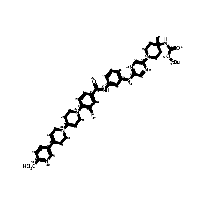 CC1(NC(=O)OC(C)(C)C)CCN(c2cnc(Sc3cccc(NC(=O)c4ccc(N5CCC(N6CC=C(c7ccc(C(=O)O)nc7)CC6)CC5)c(F)c4)c3)cn2)CC1